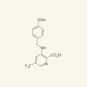 CCOC(=O)c1ncc(C(F)(F)F)cc1NCc1ccc(OC)cc1